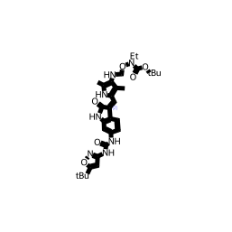 CCN(OCNc1c(C)[nH]c(/C=C2\C(=O)Nc3cc(NC(=O)Nc4cc(C(C)(C)C)on4)ccc32)c1C)C(=O)OC(C)(C)C